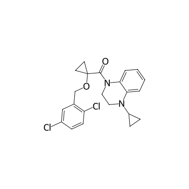 O=C(N1CCN(C2CC2)c2ccccc21)C1(OCc2cc(Cl)ccc2Cl)CC1